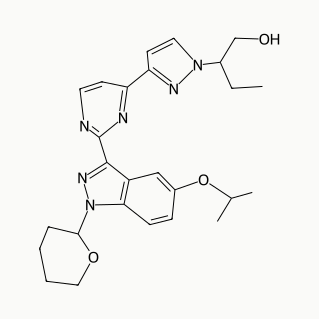 CCC(CO)n1ccc(-c2ccnc(-c3nn(C4CCCCO4)c4ccc(OC(C)C)cc34)n2)n1